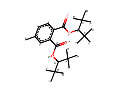 Cc1ccc(C(=O)OC(C(C)(C)C)C(C)(C)C)c(C(=O)OC(C(C)(C)C)C(C)(C)C)c1